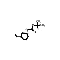 CC(C)(C)OC(=O)N[C@H]1CCC[C@@H](CI)C1